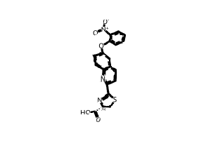 O=C(O)[C@H]1CSC(c2ccc3cc(Oc4ccccc4[N+](=O)[O-])ccc3n2)=N1